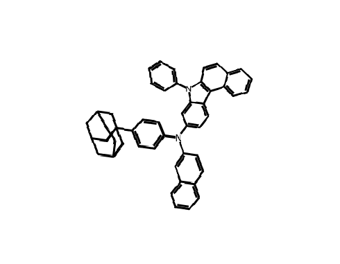 c1ccc(-n2c3cc(N(c4ccc(C56CC7CC(CC(C7)C5)C6)cc4)c4ccc5ccccc5c4)ccc3c3c4ccccc4ccc32)cc1